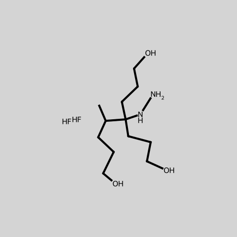 CC(CCCO)C(CCCO)(CCCO)NN.F.F